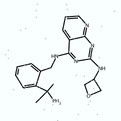 CC(C)(P)c1ccccc1CNc1nc(NC2COC2)nc2ncccc12